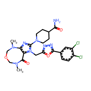 CN1COCN(C)c2nc(N3CCC(C(N)=O)CC3)n(Cc3nnc(-c4ccc(Cl)c(Cl)c4)o3)c2C1=O